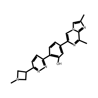 Cc1cn2cc(-c3ccc(-c4ccc(C5CN(C)C5)nn4)c(O)c3)nc(C)c2n1